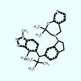 Cc1c([C@@H](c2ccc3c(c2)[C@@H](N2Cc4ccncc4OC(C)(C)C2)CC3)C(C)(C)C(=O)O)ccc2c1nnn2C